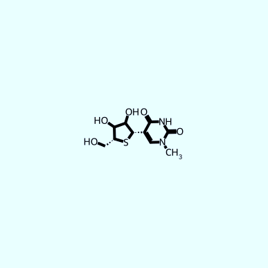 Cn1cc([C@@H]2S[C@H](CO)C(O)C2O)c(=O)[nH]c1=O